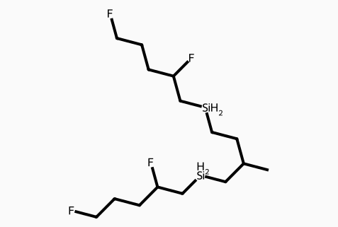 CC(CC[SiH2]CC(F)CCCF)C[SiH2]CC(F)CCCF